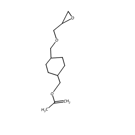 C=C(C)OCC1CCC(COCC2CO2)CC1